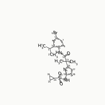 CC(C)c1cc(Br)ccc1NC(=O)C(C)(C)c1csc(NS(=O)(=O)C2CC2)n1